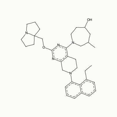 CCc1cccc2cccc(N3CCc4c(nc(OCC56CCCN5CCC6)nc4N4CCC(O)CC(C)C4)C3)c12